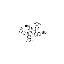 CC(C)(C)c1ccc2sc3c(c2c1)N(c1ccc2c(c1)C(C)(C)CC2(C)C)c1nc(C(C)(C)C)nc2c1B3c1cc3c(cc1N2c1ccc2c(c1)C(C)(C)CC2(C)C)C(C)(C)CC3(C)C